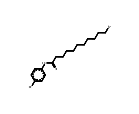 O=C(CCCCCCCCCCBr)Nc1ccc(O)cc1